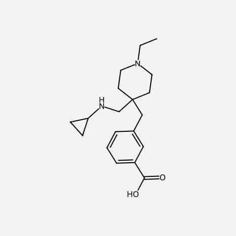 CCN1CCC(CNC2CC2)(Cc2cccc(C(=O)O)c2)CC1